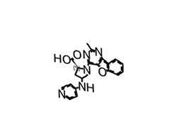 Cc1nc(N2CC(Nc3ccncc3)C[C@H]2C(=O)O)c2oc3ccccc3c2n1